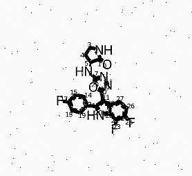 O=C1NCC[C@@H]1Nc1nnc(-c2c(-c3ccc(F)cc3)[nH]c3c(F)c(F)ccc23)o1